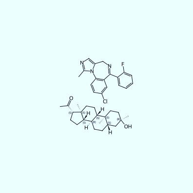 CC(=O)[C@H]1CC[C@H]2[C@@H]3CC[C@H]4C[C@](C)(O)CC[C@]4(C)[C@H]3CC[C@]12C.Cc1ncc2n1-c1ccc(Cl)cc1C(c1ccccc1F)=NC2